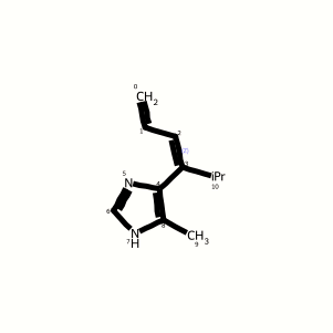 C=C/C=C(\c1nc[nH]c1C)C(C)C